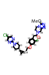 COc1nnc2n1CCN(C(=O)Cc1ccc(OCC[C@@H]3C[C@@H]3C3CCN(c4ncc(Cl)cn4)CC3)cc1F)C2